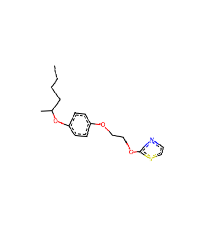 CCCCC(C)Oc1ccc(OCCOc2nccs2)cc1